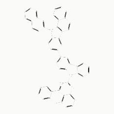 c1ccc2c(c1)Sc1cccc3nc(-n4c5ccccc5c5cc(-c6ccc7c(c6)c6ccc8ccccc8c6n7-c6ccc7ccccc7c6)ccc54)nc-2c13